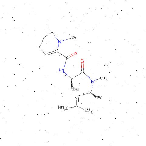 C/C(=C\[C@H](C(C)C)N(C)C(=O)[C@H](NC(=O)C1=CCCCN1C(C)C)C(C)(C)C)C(=O)O